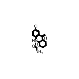 C=C1c2cc(Cl)ccc2N[C@@H]2[C@@H]1CCC[C@@H]2C(N)=O